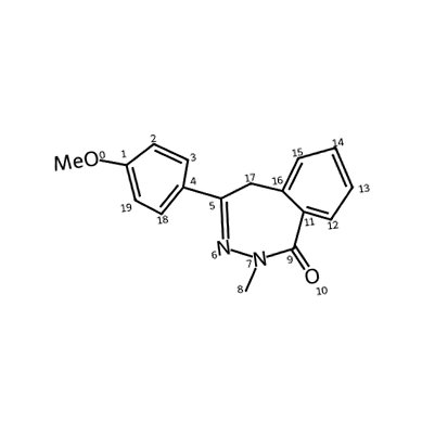 COc1ccc(C2=NN(C)C(=O)c3ccccc3C2)cc1